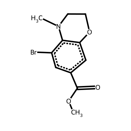 COC(=O)c1cc(Br)c2c(c1)OCCN2C